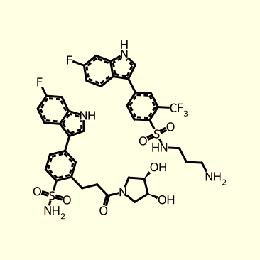 NCCCNS(=O)(=O)c1ccc(-c2c[nH]c3cc(F)ccc23)cc1C(F)(F)F.NS(=O)(=O)c1ccc(-c2c[nH]c3cc(F)ccc23)cc1CCC(=O)N1C[C@@H](O)[C@@H](O)C1